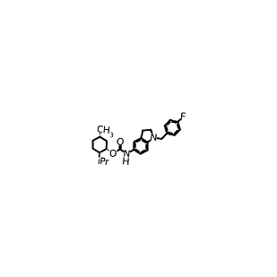 CC(C)[C@H]1CC[C@H](C)C[C@@H]1OC(=O)Nc1ccc2c(c1)CCN2Cc1ccc(F)cc1